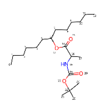 CCCCCCC(CCCCCC)OC(=O)C(C)NC(=O)OC(C)(C)C